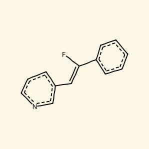 F/C(=C\c1cccnc1)c1ccccc1